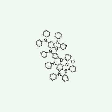 c1ccc(N(c2ccccc2)c2cc3c4c(c2)N(c2ccccc2)c2cc5c(cc2B4c2ccccc2N3c2ccccc2)B2c3cccc4c3N3c6c(cccc6B6c7ccccc7N(c7ccccc7)c7cc(c2c3c76)N5c2ccccc2)O4)cc1